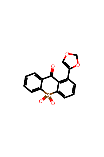 O=C1c2ccccc2S(=O)(=O)c2cccc(C3=COCO3)c21